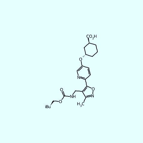 CC[C@H](C)COC(=O)NCc1c(C)noc1-c1ccc(O[C@H]2CCC[C@H](C(=O)O)C2)cn1